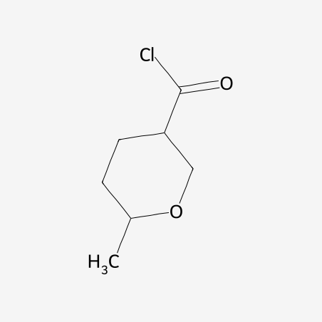 CC1CCC(C(=O)Cl)CO1